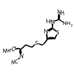 COC(CCSCc1csc(NC(=N)N)n1)=NC#N